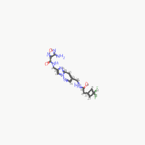 Nc1nonc1C(=O)NCc1cn2ncc(CNC(=O)CC3CC(F)(F)C3)cc2n1